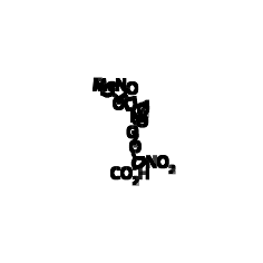 CNC(=O)c1c(-c2ccc(F)cc2)oc2cc(N(CCOCCOCc3ccc(C(=O)O)c([N+](=O)[O-])c3)S(C)(=O)=O)c(C3CC3)cc12